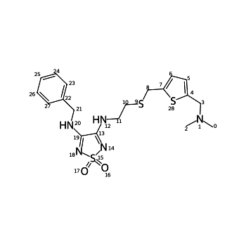 CN(C)Cc1ccc(CSCCNC2=NS(=O)(=O)N=C2NCc2ccccc2)s1